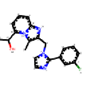 Cc1c(Cn2ccnc2-c2cccc(F)c2)nc2cccc(C(C)O)n12